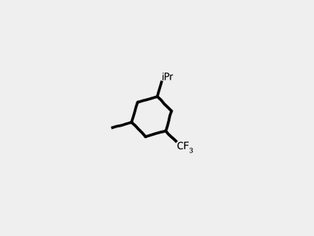 CC1CC(C(C)C)CC(C(F)(F)F)C1